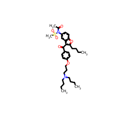 CCCCc1oc2ccc(N(C(C)=O)S(C)(=O)=O)cc2c1C(=O)c1ccc(OCCCN(CCCC)CCCC)cc1